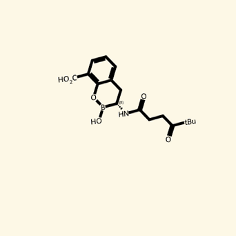 CC(C)(C)C(=O)CCC(=O)N[C@H]1Cc2cccc(C(=O)O)c2OB1O